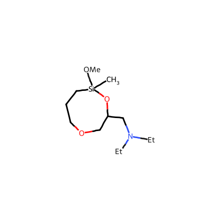 CCN(CC)CC1COCCC[Si](C)(OC)O1